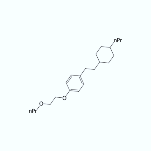 CCCOCCOc1ccc(CCC2CCC(CCC)CC2)cc1